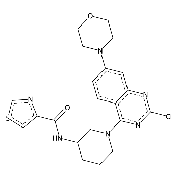 O=C(NC1CCCN(c2nc(Cl)nc3cc(N4CCOCC4)ccc23)C1)c1cscn1